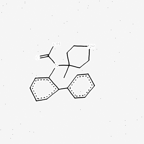 CC1(N(C(=O)O)c2ccccc2-c2ccccc2)CCNCC1